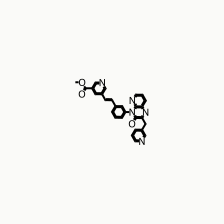 COC(=O)c1cncc(/C=C/c2cccc(-n3c(=O)c(Cc4cccnc4)nc4cccnc43)c2)c1